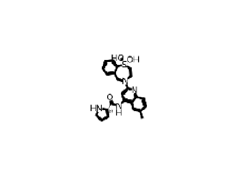 Cc1ccc2nc(N3CCS(O)(O)c4ccccc4C3)cc(NC(=O)[C@@H]3CCCN3)c2c1